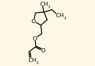 C=CC(=O)OCC1CC(C)(CC)CO1